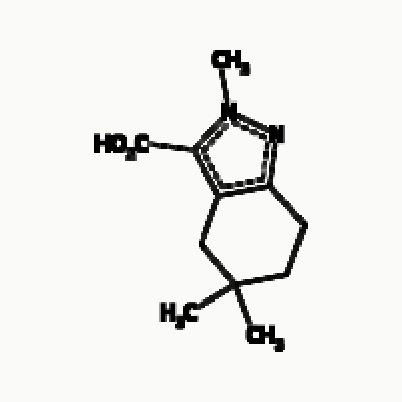 Cn1nc2c(c1C(=O)O)CC(C)(C)CC2